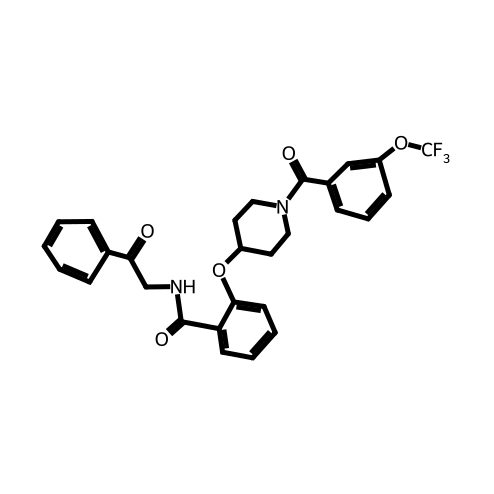 O=C(CNC(=O)c1ccccc1OC1CCN(C(=O)c2cccc(OC(F)(F)F)c2)CC1)c1ccccc1